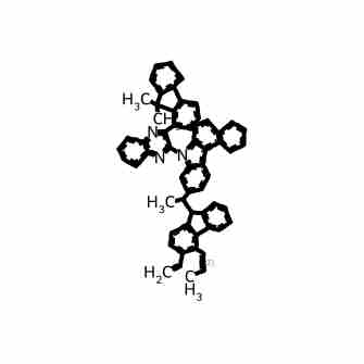 C=Cc1ccc2c(c1/C=C\C)-c1ccccc1C2C(C)c1ccc2c3c4ccccc4ccc3n(-c3nc4ccccc4nc3-c3cccc4c3C(C)(C)c3ccccc3-4)c2c1